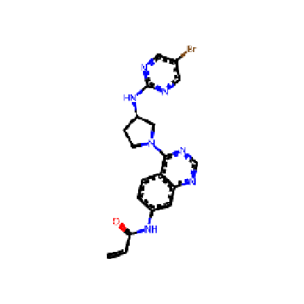 C=CC(=O)Nc1ccc2c(N3CC[C@@H](Nc4ncc(Br)cn4)C3)ncnc2c1